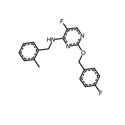 Cc1ccccc1CNc1nc(OCc2ccc(F)cc2)ncc1F